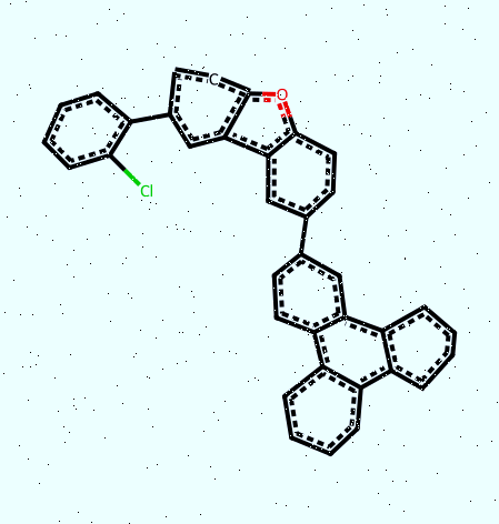 Clc1ccccc1-c1ccc2oc3ccc(-c4ccc5c6ccccc6c6ccccc6c5c4)cc3c2c1